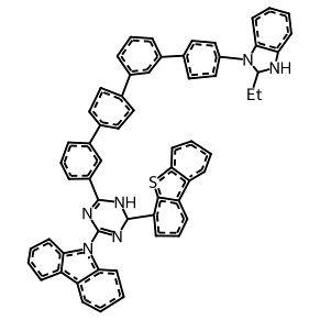 CCC1Nc2ccccc2N1c1ccc(-c2cccc(-c3ccc(-c4cccc(C5=NC(n6c7ccccc7c7ccccc76)=NC(c6cccc7c6sc6ccccc67)N5)c4)cc3)c2)cc1